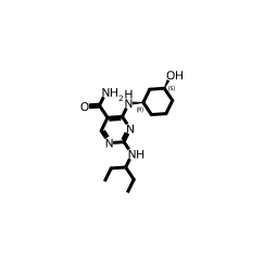 CCC(CC)Nc1ncc(C(N)=O)c(N[C@@H]2CCC[C@H](O)C2)n1